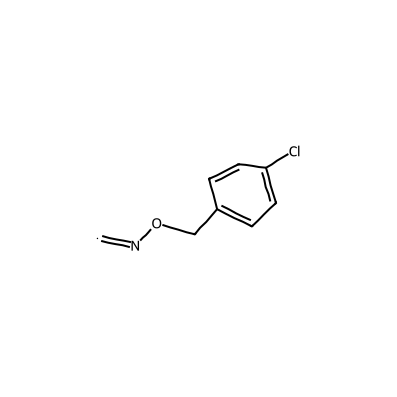 [CH]=NOCc1ccc(Cl)cc1